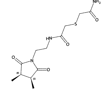 C[C@@H]1C(=O)N(CCNC(=O)CSCC(N)=O)C(=O)[C@@H]1C